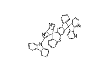 c1ccc2c(c1)Sc1cc3c(cc1C21c2cccnc2-c2ncc(-n4c5ccccc5c5ccccc54)cc21)-c1ccccc1C31c2cccnc2-c2ncccc21